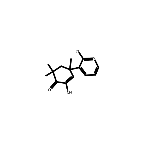 CC1(C)CC(C)(c2cccnc2Cl)C=C(C#N)C1=O